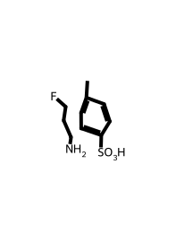 Cc1ccc(S(=O)(=O)O)cc1.NCCCF